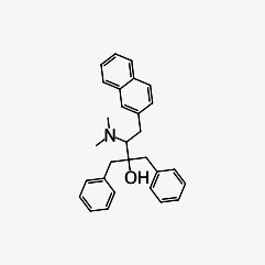 CN(C)C(Cc1ccc2ccccc2c1)C(O)(Cc1ccccc1)Cc1ccccc1